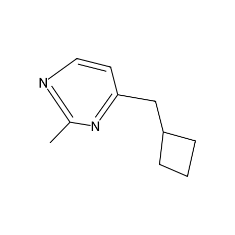 Cc1nccc(CC2CCC2)n1